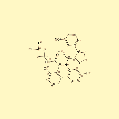 N#Cc1ccnc(N2SCCC2C(=O)N(c2cccc(F)c2)[C@@H](C(=O)NC2CC(F)(F)C2)c2ccccc2Cl)c1